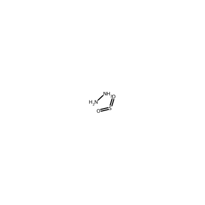 NN.O=S=O